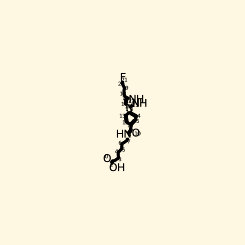 O=C(O)CCCCCNC(=O)c1ccc(N2C=C(CCCF)NN2)cc1